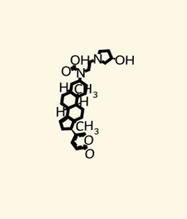 C[C@]12CCC(N(CCN3CC[C@@H](O)C3)C(=O)O)C[C@H]1CC[C@H]1C3=CC[C@H](c4ccc(=O)oc4)[C@@]3(C)CC[C@@H]12